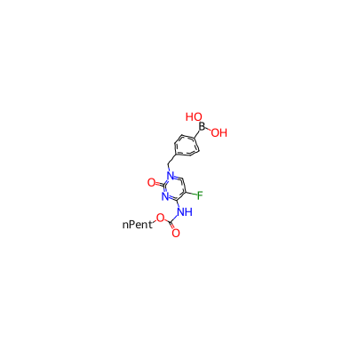 CCCCCOC(=O)Nc1nc(=O)n(Cc2ccc(B(O)O)cc2)cc1F